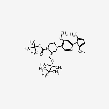 COc1cc(-n2c(C)ccc2C)ncc1N1CCN(C(=O)OC(C)(C)C)[C@@H](CO[Si](C)(C)C(C)(C)C)C1